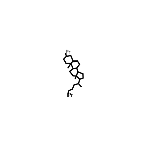 CC(C)CCCC(C)C1CCC2C3CC=C4CC(C(C)C)CCC4(C)C3CCC12C